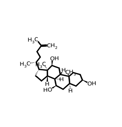 C=C(C)CC[C@@H](C)[C@H]1CC[C@H]2[C@@H]3[C@H](O)C[C@@H]4C[C@H](O)CC[C@]4(C)[C@H]3C[C@H](O)[C@]12C